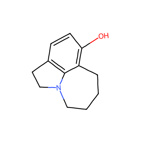 Oc1ccc2c3c1CCCCN3CC2